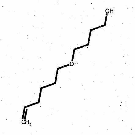 C=CCCCCOCCCCO